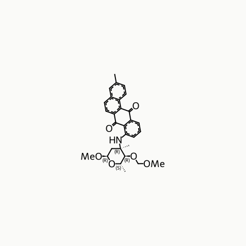 COCO[C@H]1[C@H](C)O[C@@H](OC)C[C@@]1(C)Nc1cccc2c1C(=O)c1ccc3cc(C)ccc3c1C2=O